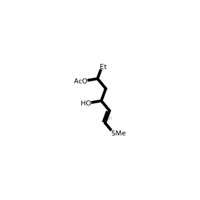 CCC(CC(O)/C=C/SC)OC(C)=O